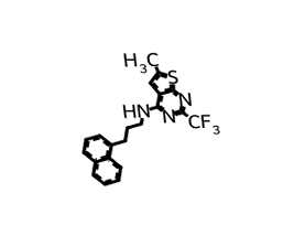 Cc1cc2c(NCCCc3cccc4ccccc34)nc(C(F)(F)F)nc2s1